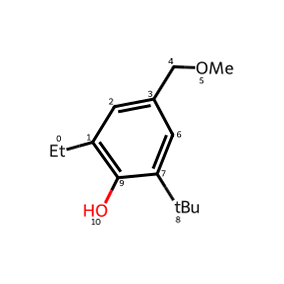 CCc1cc(COC)cc(C(C)(C)C)c1O